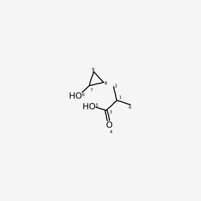 CC(C)C(=O)O.OC1CC1